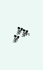 C=C[Si](C)(C=C)O[Si](C)(C)C.C=C[Si](C)(C=C)O[Si](C)(C)C.C=C[Si](C)(C=C)O[Si](C)(C)C.[Pt]